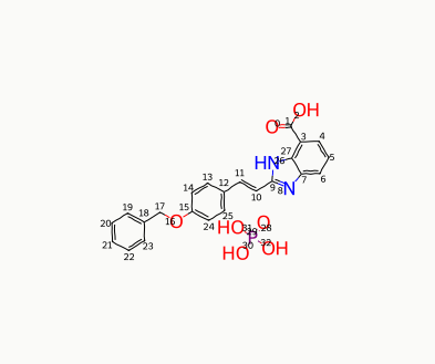 O=C(O)c1cccc2nc(C=Cc3ccc(OCc4ccccc4)cc3)[nH]c12.O=P(O)(O)O